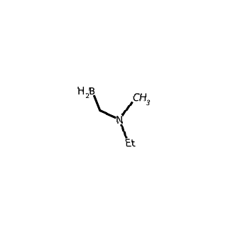 BCN(C)CC